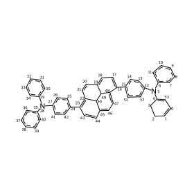 C1=CCCC(N(c2ccccc2)c2ccc(C3=CC=C4C=CC5=C(c6ccc(N(c7ccccc7)c7ccccc7)cc6)C=CC6=CC=C3C4C65)cc2)=C1